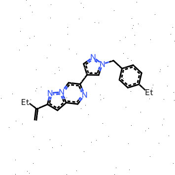 C=C(CC)c1cc2cnc(-c3cnn(Cc4ccc(CC)cc4)c3)cn2n1